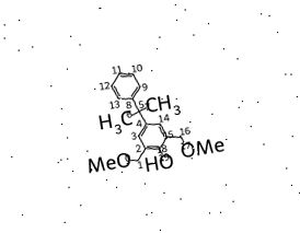 COCc1cc(C(C)(C)c2ccccc2)cc(COC)c1O